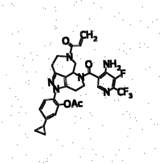 C=CC(=O)N1CCc2nn(-c3ccc(C4CC4)cc3OC(C)=O)c3c2C(C1)N(C(=O)c1cnc(C(F)(F)F)c(F)c1N)CC3